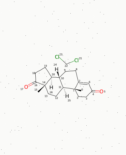 C[C@]12CCC(=O)C=C1CC[C@@H]1[C@@H]2CC[C@]2(C)C(=O)CC[C@@H]12.ClCCl